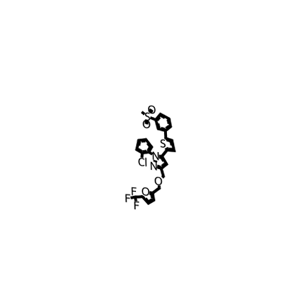 CS(=O)(=O)c1cccc(-c2ccc(-c3cc(COCc4ccc(C(F)(F)F)o4)nn3-c3ccccc3Cl)s2)c1